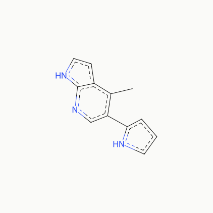 Cc1c(-c2ccc[nH]2)cnc2[nH]ccc12